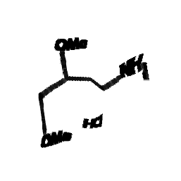 COCC(CN)OC.Cl